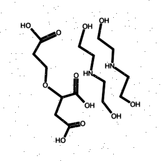 O=C(O)CCOC(CC(=O)O)C(=O)O.OCCNCCO.OCCNCCO